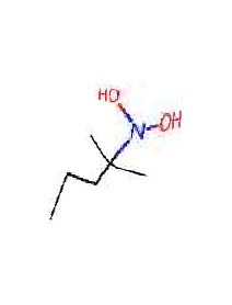 CCCC(C)(C)N(O)O